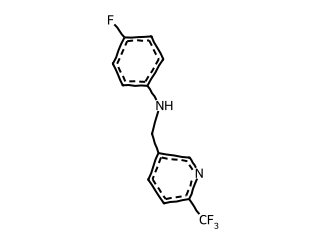 Fc1ccc(NCc2ccc(C(F)(F)F)nc2)cc1